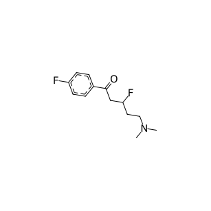 CN(C)CCC(F)CC(=O)c1ccc(F)cc1